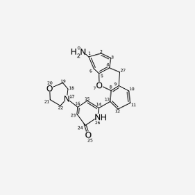 Nc1ccc2c(c1)Oc1c(cccc1-c1cc(N3CCOCC3)cc(=O)[nH]1)C2